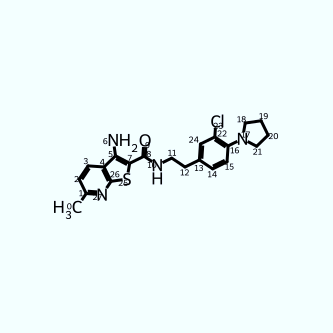 Cc1ccc2c(N)c(C(=O)NCCc3ccc(N4CCCC4)c(Cl)c3)sc2n1